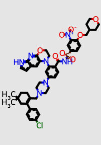 CC1(C)CCC(CN2CCN(c3ccc(C(=O)NS(=O)(=O)c4ccc(OCC5CCOCC5)c([N+](=O)[O-])c4)c(N4CCOc5nc6[nH]ccc6cc54)c3)CC2)=C(c2ccc(Cl)cc2)C1